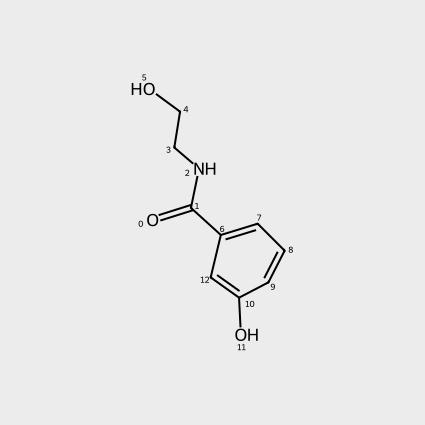 O=C(NCCO)c1cccc(O)c1